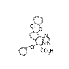 O=C(O)c1c(OCc2ccccc2)c2ccc(Cl)c(Oc3ccccc3)c2c2ncnn12